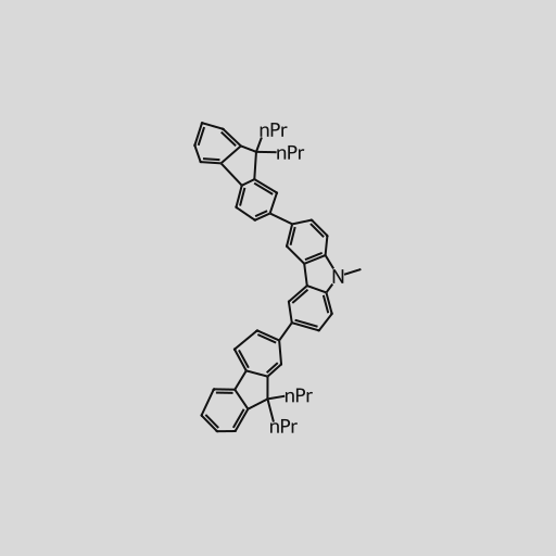 CCCC1(CCC)c2ccccc2-c2ccc(-c3ccc4c(c3)c3cc(-c5ccc6c(c5)C(CCC)(CCC)c5ccccc5-6)ccc3n4C)cc21